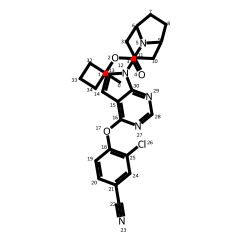 CC1(OC(=O)N2C3CCC2CC(n2ccc4c(Oc5ccc(C#N)cc5Cl)ncnc42)C3)CCC1